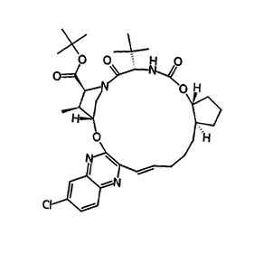 C[C@@H]1[C@@H]2CN(C(=O)[C@H](C(C)(C)C)NC(=O)O[C@@H]3CCC[C@H]3CCC/C=C/c3nc4ccc(Cl)cc4nc3O2)[C@@H]1C(=O)OC(C)(C)C